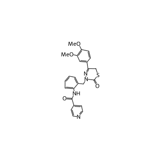 COc1ccc(C2=NN(Cc3ccccc3NC(=O)c3ccncc3)C(=O)SC2)cc1OC